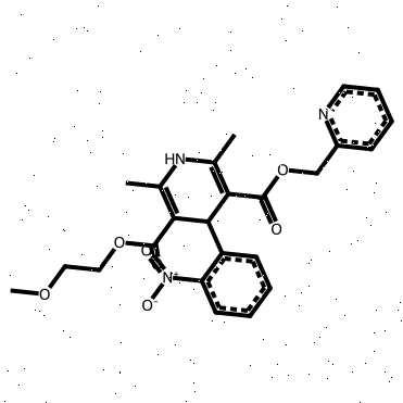 COCCOC(=O)C1=C(C)NC(C)=C(C(=O)OCc2ccccn2)C1c1ccccc1[N+](=O)[O-]